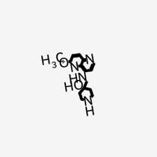 COc1ccc2nccc(NCC3(O)CCNCC3)c2n1